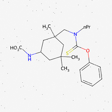 CCCN(CC1(C)CC(NC(=O)O)CC(C)(C)C1)C(=S)Oc1ccccc1